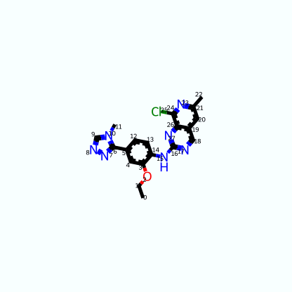 CCOc1cc(-c2nncn2C)ccc1Nc1ncc2cc(C)nc(Cl)c2n1